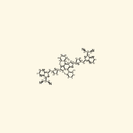 Cc1cccc(C)c1-c1c2cc(-c3ccc(/C=c4\sc(=C(C#N)C#N)c5nccnc45)s3)sc2c(-c2c(C)cccc2C)c2cc(-c3ccc(/C=c4\sc(=C(C#N)C#N)c5nccnc45)s3)sc12